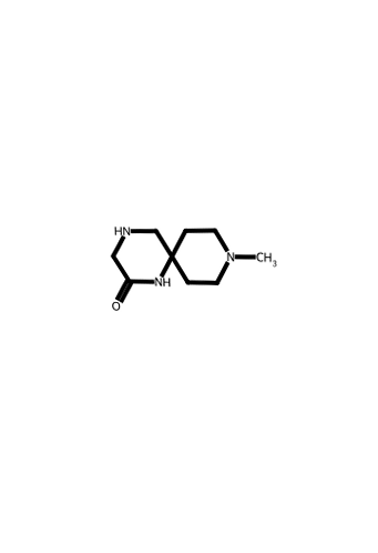 CN1CCC2(CC1)CNCC(=O)N2